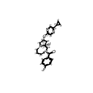 O=C(c1ccc(F)cc1)N1CCCN2C[C@H](Oc3cnc(C4CC4)cn3)C[C@@H]2C1